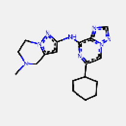 CN1CCn2nc(Nc3nc(C4CCCCC4)cn4ncnc34)cc2C1